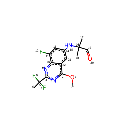 COc1nc(C(C)(F)F)nc2c(F)cc(NC(C)(C)C=O)cc12